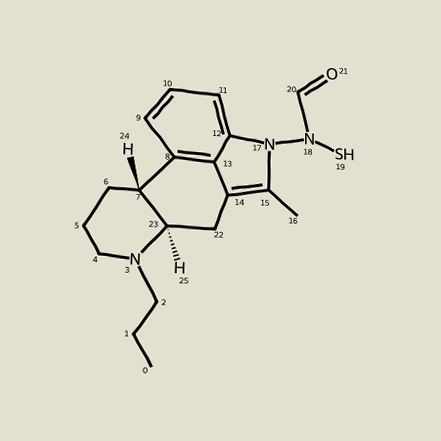 CCCN1CCC[C@@H]2c3cccc4c3c(c(C)n4N(S)C=O)C[C@H]21